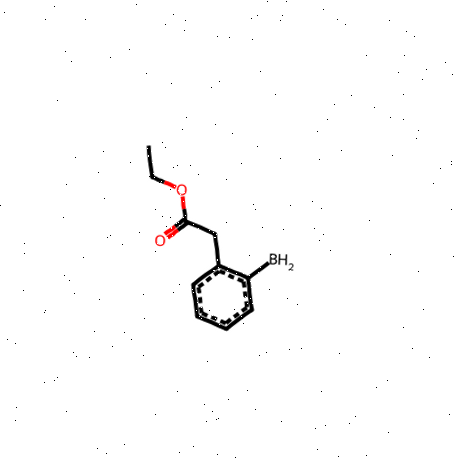 Bc1ccccc1CC(=O)OCC